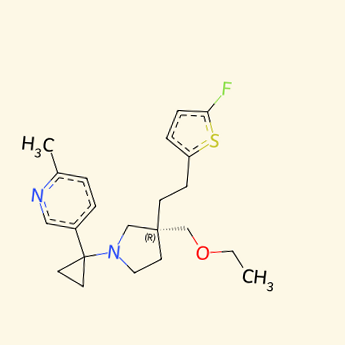 CCOC[C@]1(CCc2ccc(F)s2)CCN(C2(c3ccc(C)nc3)CC2)C1